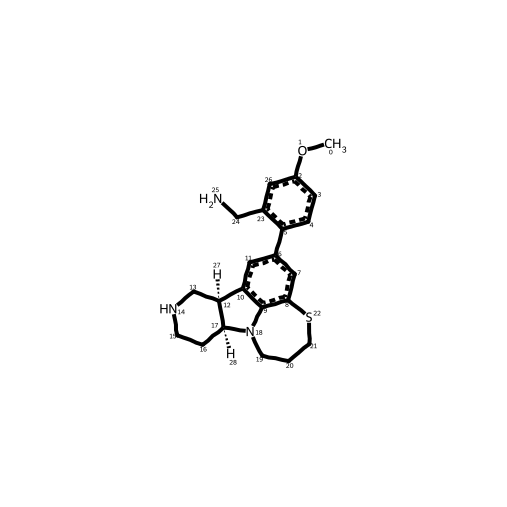 COc1ccc(-c2cc3c4c(c2)[C@@H]2CNCC[C@@H]2N4CCCS3)c(CN)c1